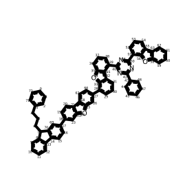 c1ccc(CCCC2c3ccccc3-c3ccc(-c4ccc5c(c4)oc4cc(-c6cccc7c6oc6cccc(-c8nc(-c9ccccc9)nc(-c9cccc%10c9oc9ccccc9%10)n8)c67)ccc45)cc32)cc1